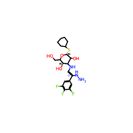 NN/C(=C\NC1C(O)[C@@H](SC2CCCCC2)OC(CO)[C@@H]1O)c1cc(F)c(F)c(F)c1